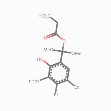 CCCCCCc1c(O)c(C(OC)(OC)OC(=O)CC(=O)O)cc(CC)c1CC